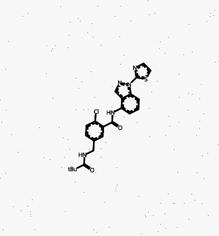 CC(C)(C)C(=O)NCc1ccc(Cl)c(C(=O)Nc2cccc3c2cnn3-c2nccs2)c1